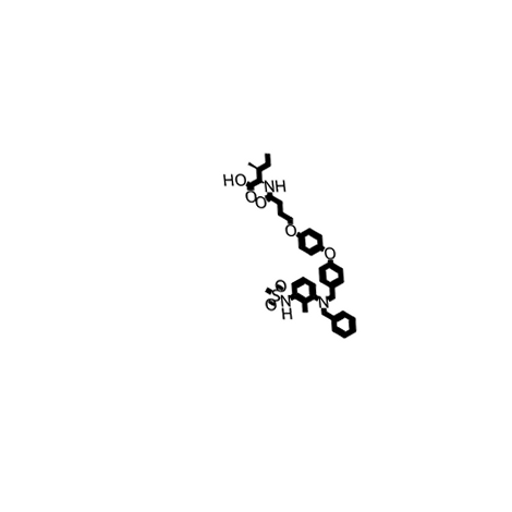 CC[C@H](C)[C@H](NC(=O)CCCOc1ccc(Oc2ccc(CN(Cc3ccccc3)c3cccc(NS(C)(=O)=O)c3C)cc2)cc1)C(=O)O